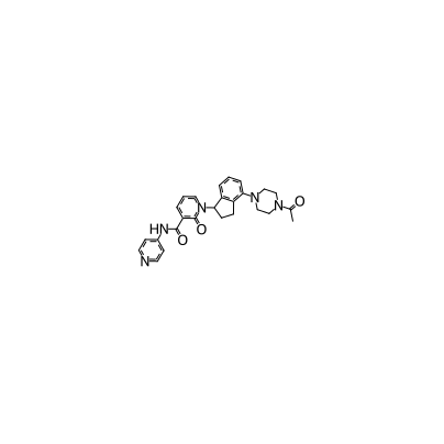 CC(=O)N1CCN(c2cccc3c2CCC3n2cccc(C(=O)Nc3ccncc3)c2=O)CC1